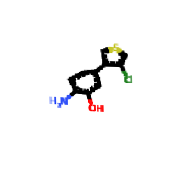 Nc1ccc(-c2cscc2Cl)cc1O